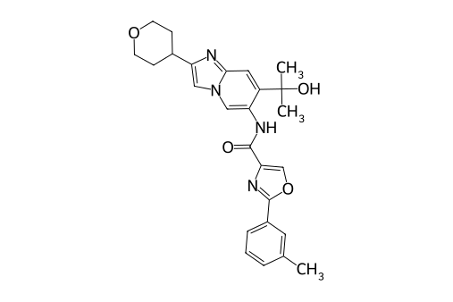 Cc1cccc(-c2nc(C(=O)Nc3cn4cc(C5CCOCC5)nc4cc3C(C)(C)O)co2)c1